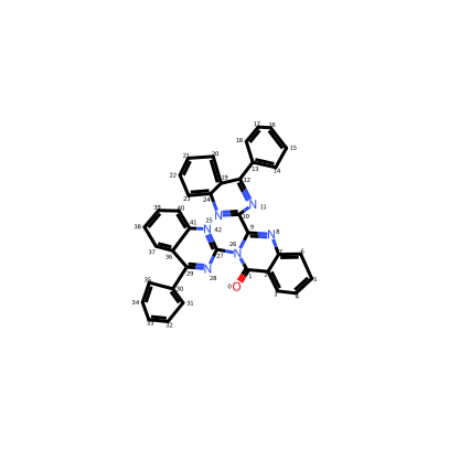 O=c1c2ccccc2nc(-c2nc(-c3ccccc3)c3ccccc3n2)n1-c1nc(-c2ccccc2)c2ccccc2n1